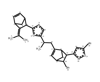 CC(C)=C1C2C=CC(C2)C1c1ncc(C(C)CC2=CC3CC2C(c2cc(C(C)C)on2)C3C(C)C)o1